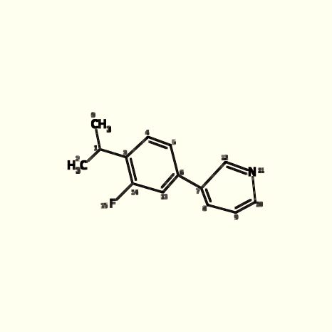 CC(C)c1ccc(-c2cccnc2)cc1F